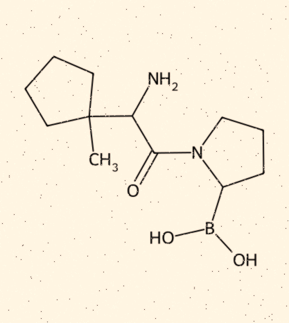 CC1(C(N)C(=O)N2CCCC2B(O)O)CCCC1